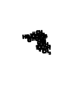 CC(O)c1cccc(Oc2c(C(=O)N[C@@H](C)c3ccc(C(=O)O)cc3)c(C(F)F)nn2C)c1